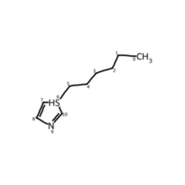 CCCCCC[SH]1C=CN=C1